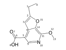 CCc1cc2c(C(=O)O)cnc(OC)c2o1